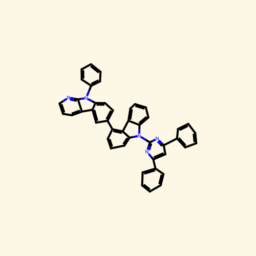 c1ccc(-c2cc(-c3ccccc3)nc(-n3c4ccccc4c4c(-c5ccc6c(c5)c5cccnc5n6-c5ccccc5)cccc43)n2)cc1